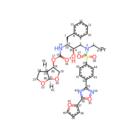 CC(C)CN(C[C@@H](O)[C@H](Cc1ccccc1)NC(=O)O[C@H]1CO[C@H]2OCC[C@H]21)S(=O)(=O)c1ccc(-c2noc(-c3ccco3)n2)cc1